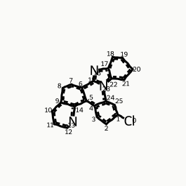 Clc1ccc2c3c(ccc4cccnc43)c3nc4ccccc4n3c2c1